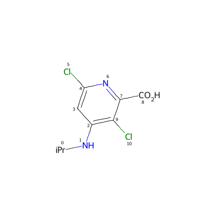 CC(C)Nc1cc(Cl)nc(C(=O)O)c1Cl